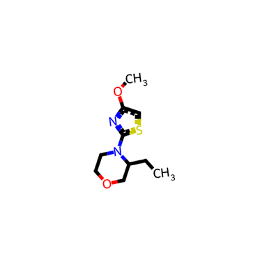 CCC1COCCN1c1nc(OC)cs1